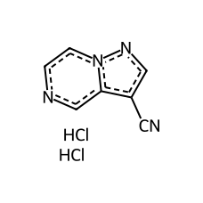 Cl.Cl.N#Cc1cnn2ccncc12